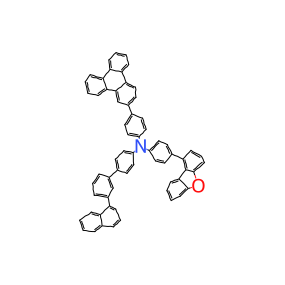 c1cc(-c2ccc(N(c3ccc(-c4ccc5c6ccccc6c6ccccc6c5c4)cc3)c3ccc(-c4cccc5oc6ccccc6c45)cc3)cc2)cc(-c2cccc3ccccc23)c1